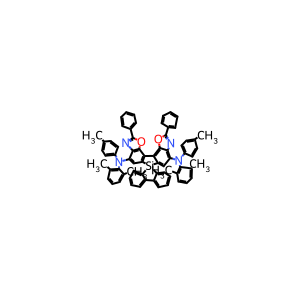 Cc1ccc(N(c2c(C)cccc2C)c2cc3c(c4oc(-c5ccccc5)nc24)-c2c(cc(N(c4ccc(C)cc4)c4c(C)cccc4C)c4nc(-c5ccccc5)oc24)[Si]32c3ccccc3-c3ccccc32)cc1